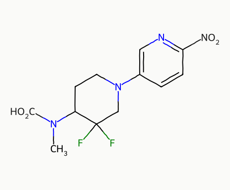 CN(C(=O)O)C1CCN(c2ccc([N+](=O)[O-])nc2)CC1(F)F